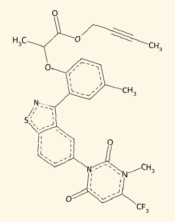 CC#CCOC(=O)C(C)Oc1ccc(C)cc1-c1nsc2ccc(-n3c(=O)cc(C(F)(F)F)n(C)c3=O)cc12